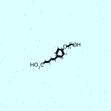 O=C(O)C=CC=Cc1ccc(OCCO)cc1